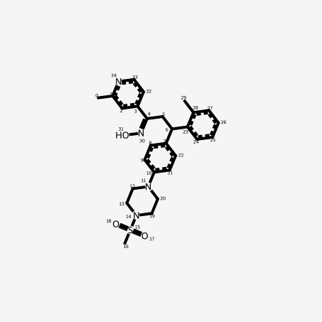 Cc1cc(C(CC(c2ccc(N3CCN(S(C)(=O)=O)CC3)cc2)c2ccccc2C)=NO)ccn1